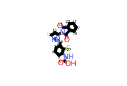 O=C(O)Nc1cccc(Cn2nccc2N2C(=O)c3ccccc3C2=O)c1F